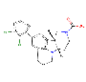 O=C(O)N1CC[C@H]2[C@@H](C1)c1cc(-c3cccc(Cl)c3Cl)cc3c1N2CCC3